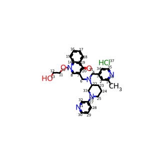 Cc1cc(CN(Cc2cn(OCCO)c3ccccc3c2=O)[C@H]2CCCN(c3cccnc3)C2)ccn1.Cl